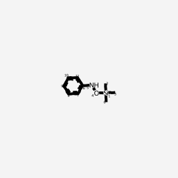 C[Si](C)(C)ONc1ccccc1